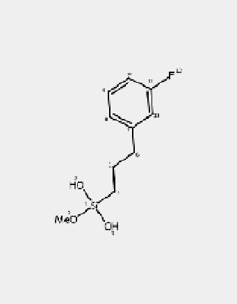 CO[Si](O)(O)CCCc1cccc(F)c1